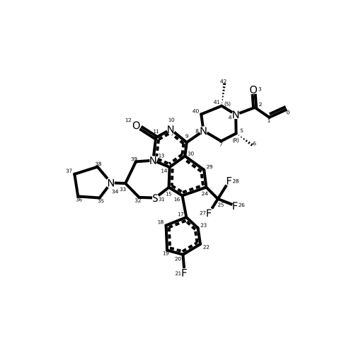 C=CC(=O)N1[C@H](C)CN(c2nc(=O)n3c4c(c(-c5ccc(F)cc5)c(C(F)(F)F)cc24)SCC(N2CCCC2)C3)C[C@@H]1C